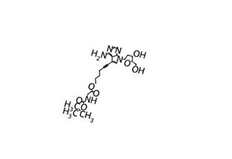 CC(C)(C)OC(=O)NCC(=O)OCCCCC#Cc1cn([C@H]2C[C@@H](O)[C@@H](CO)O2)c2ncnc(N)c12